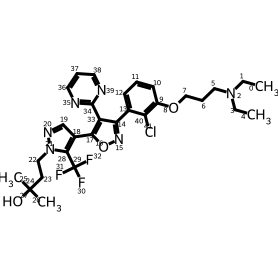 CCN(CC)CCCOc1cccc(-c2noc(-c3cnn(CCC(C)(C)O)c3C(F)(F)F)c2-c2ncccn2)c1Cl